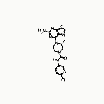 C[C@H]1CN(C(=O)Nc2ccc(Cl)nc2)CCN1c1nc(N)nc2scnc12